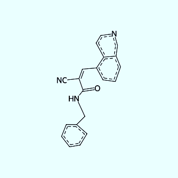 N#CC(=Cc1cccc2cnccc12)C(=O)NCc1ccccc1